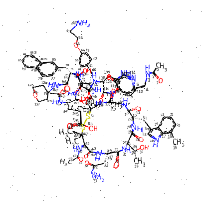 CC(=O)NCCCC[C@@H]1NC(=O)[C@H](Cc2c[nH]c3c(C)cccc23)NC(=O)[C@H]([C@@H](C)O)NC(=O)[C@H](CC(N)=O)NC(=O)[C@@H](NC(C)=O)C(C)(C)SSC(C)(C)[C@@H](C(=O)N[C@@H](Cc2ccc(OCCN)cc2)C(=O)N[C@@H](Cc2ccc3ccccc3c2)C(=O)NC2(C(=O)N[C@@H](CCC(=O)O)C(=O)N[C@@H](CO)C(=O)N[C@@H](Cc3cccnc3)C(=O)N(C)CC(N)=O)CCOCC2)NC1=O